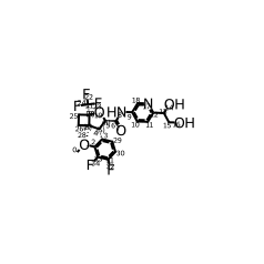 COc1c([C@H]2[C@H](C(=O)Nc3ccc(C(O)CO)nc3)O[C@]3(C(F)(F)F)CC[C@]23C)ccc(F)c1F